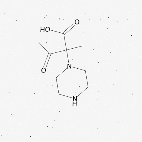 CC(=O)C(C)(C(=O)O)N1CCNCC1